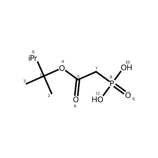 CC(C)C(C)(C)OC(=O)CP(=O)(O)O